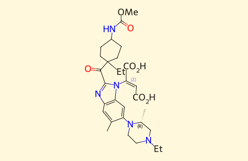 CCN1CCN(c2cc3c(cc2C)nc(C(=O)C2(CC)CCC(NC(=O)OC)CC2)n3/C(=C\C(=O)O)C(=O)O)[C@H](C)C1